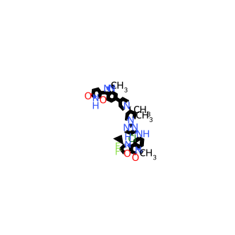 Cn1nc(C2CCC(=O)NC2=O)c2ccc(C3CCN(C[C@@H]4CCN(c5ncc(Cl)c(Nc6ccc7c(c6)c6c(c(=O)n7C)OCC(F)(F)[C@H](C7CC7)N6)n5)CC4(C)C)CC3)cc21